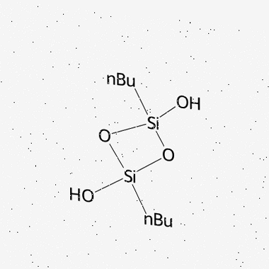 CCCC[Si]1(O)O[Si](O)(CCCC)O1